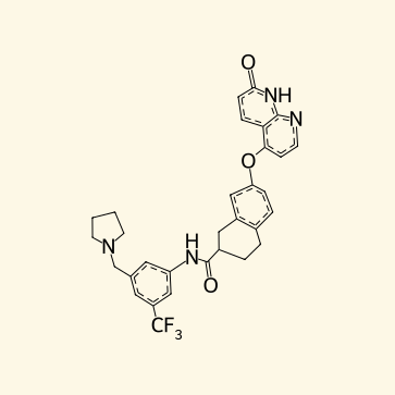 O=C(Nc1cc(CN2CCCC2)cc(C(F)(F)F)c1)C1CCc2ccc(Oc3ccnc4[nH]c(=O)ccc34)cc2C1